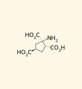 N[C@]1(C(=O)O)C[C@H](C(=O)O)C[C@H]1C(=O)O